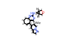 COc1nc(N[C@@H]2[C@@H]3COC[C@@H]32)nc2c1C(c1ccn3nccc3c1)=CCCC2